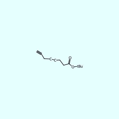 C#CCCCCCC(=O)OC(C)(C)C